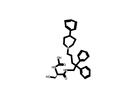 O=C(O)N[C@@H](CO)C(=O)NCC(CCCN1CCC(c2ccccc2)CC1)(c1ccccc1)c1ccccc1